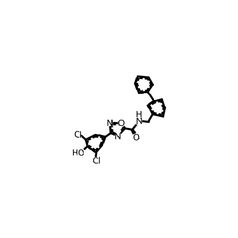 O=C(NCc1cccc(-c2ccccc2)c1)c1nc(-c2cc(Cl)c(O)c(Cl)c2)no1